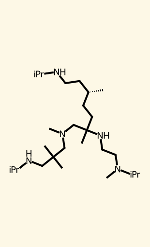 CC(C)NCC[C@H](C)CCC(C)(CN(C)CC(C)(C)CNC(C)C)NCCN(C)C(C)C